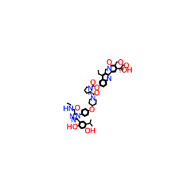 CCNC(=O)c1nnc(-c2cc(C(C)C)c(O)cc2O)n1-c1ccc(OC2CCN(C(=O)[C@@H]3CCCN3C(=O)Oc3ccc4nc5c(c(CC)c4c3)Cn3c-5cc4c(c3=O)COC(=O)[C@@]4(C)O)CC2)cc1